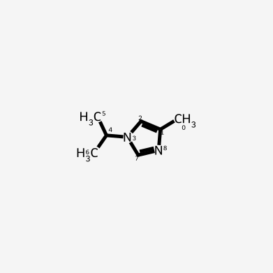 Cc1cn(C(C)C)cn1